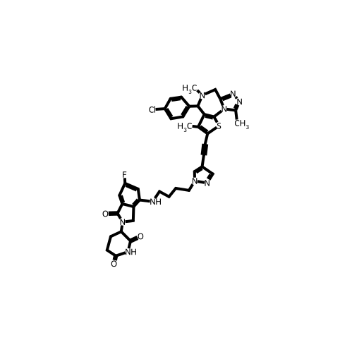 Cc1c(C#Cc2cnn(CCCCNc3cc(F)cc4c3CN(C3CCC(=O)NC3=O)C4=O)c2)sc2c1C(c1ccc(Cl)cc1)N(C)Cc1nnc(C)n1-2